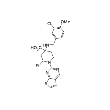 CCC1CC(NCc2ccc(OC)c(Cl)c2)(C(=O)O)CCN1c1ncc2ccsc2n1